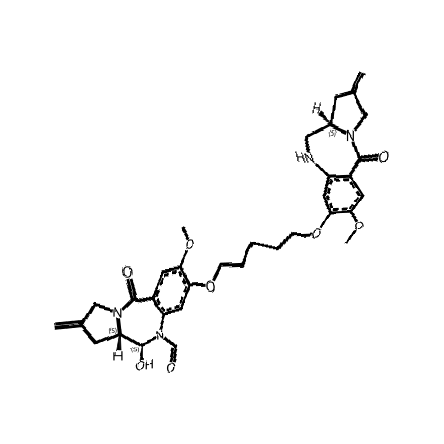 C=C1C[C@H]2CNc3cc(OCCCCCOc4cc5c(cc4OC)C(=O)N4CC(=C)C[C@H]4[C@H](O)N5C=O)c(OC)cc3C(=O)N2C1